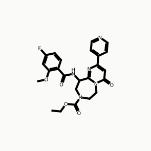 CCOC(=O)N1CCn2c(nc(-c3ccncc3)cc2=O)C(NC(=O)c2ccc(F)cc2OC)C1